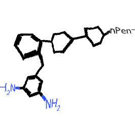 CCCCCC1CCC(C2CCC(c3ccccc3Cc3cc(N)cc(N)c3)CC2)CC1